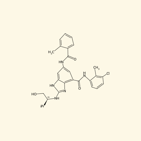 Cc1ccccc1C(=O)Nc1cc(C(=O)Nc2cccc(Cl)c2C)c2nc(N[C@H](CO)C(C)C)[nH]c2c1